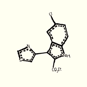 CCOC(=O)c1[nH]c2ccc(Cl)cc2c1-c1cscn1